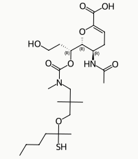 CCCCC(C)(S)OCC(C)(C)CN(C)C(=O)O[C@H](CCO)[C@@H]1OC(C(=O)O)=CC[C@H]1NC(C)=O